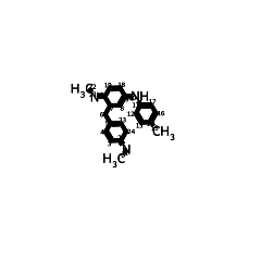 CN=C1C=CC(CC2C=C(Nc3ccc(C)cc3)C=C/C2=N\C)=CC1